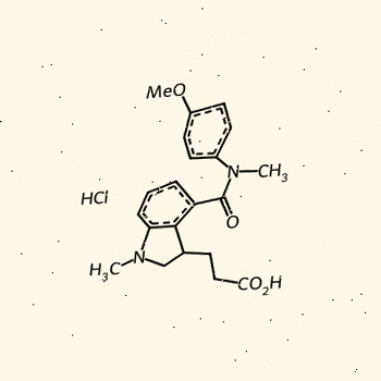 COc1ccc(N(C)C(=O)c2cccc3c2C(CCC(=O)O)CN3C)cc1.Cl